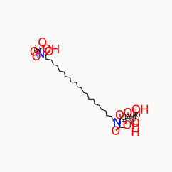 CC(=O)N(CCCCCCCCCCCCCCCCCCCCCCCC(=O)N1OO[C@@]1(C)C(=O)O)C(=O)[C@H](O)[C@@H](O)[C@H](O)[C@@H](C)O